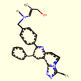 CC(=O)N(/C=C(\C)CO)Cc1ccc(-c2nc3ccn4c(C)nnc4c3cc2-c2ccccc2)cc1